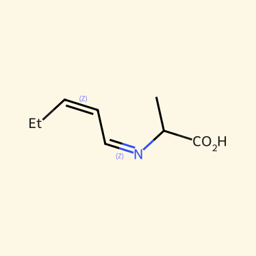 CC/C=C\C=N/C(C)C(=O)O